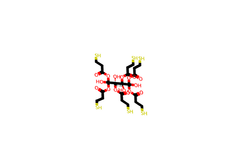 O=C(CCS)OC(O)(OC(=O)CCS)[C@](O)(OC(=O)CCS)[C@](O)(OC(=O)CCS)C(O)(OC(=O)CCS)OC(=O)CCS